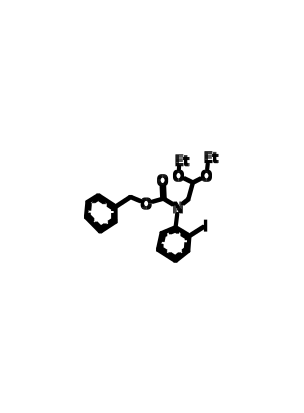 CCOC(CN(C(=O)OCc1ccccc1)c1ccccc1I)OCC